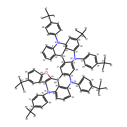 CC(C)(C)c1ccc(N2c3ccccc3B3c4cc5c(cc4N(c4ccc(C(C)(C)C)cc4)c4cc(C(C)(C)C)cc2c43)N(c2ccc(C(C)(C)C)cc2)c2cccc3c2B5c2oc4ccc(C(C)(C)C)cc4c2N3c2ccc(C(C)(C)C)cc2)cc1